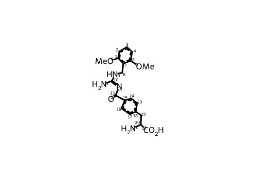 COc1cccc(OC)c1CNC(N)=NC(=O)c1ccc(CC(N)C(=O)O)cc1